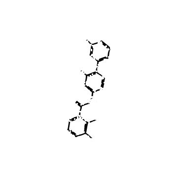 O=C(Nc1ccc(-c2cccc(C(F)(F)F)c2)c(C(F)(F)F)c1)c1cccc(F)c1F